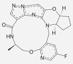 C[C@@H]1COc2ncc(F)cc2CN2c3nc4c(cnn4cc3O[C@H]3CCC[C@H]32)C(=O)N1